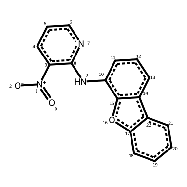 O=[N+]([O-])c1cccnc1Nc1cccc2c1oc1ccccc12